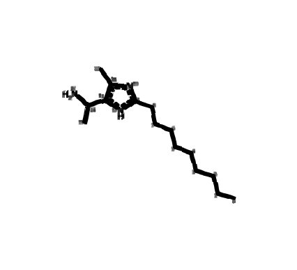 CCCCCCCCCc1nc(C)c(C(C)N)[nH]1